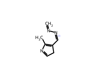 C=N/N=C\C1=C(C)N=CC1